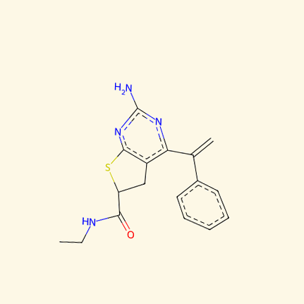 C=C(c1ccccc1)c1nc(N)nc2c1CC(C(=O)NCC)S2